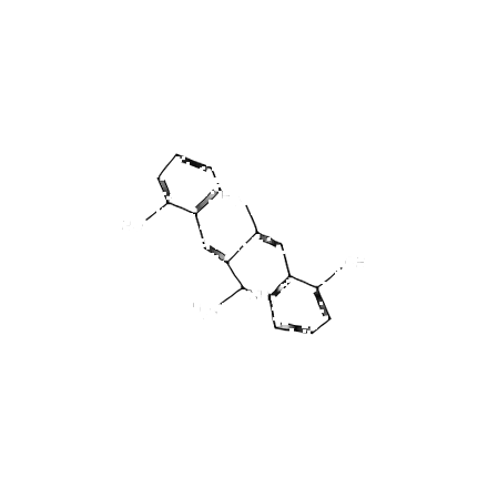 CC(=C/c1ccccc1O)/C(=C\c1ccccc1O)C(N)N